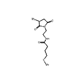 CC(C)SCCCC(=O)NCCN1C(=O)CC(C(C)C)C1=O